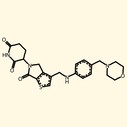 O=C1CCC(N2Cc3c(CNc4ccc(CN5CCOCC5)cc4)csc3C2=O)C(=O)N1